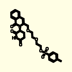 Cc1ccc(S(=O)(=O)OCCOCCOCc2cc3ccccc3c(=O)n2C2CCC(=O)NC2=O)cc1